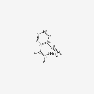 CC(N)=C(C)c1ccncc1C#N